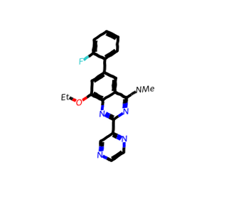 CCOc1cc(-c2ccccc2F)cc2c(NC)nc(-c3cnccn3)nc12